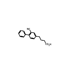 N#Cc1cc(CCCC(=O)O)ccc1-c1ccccc1